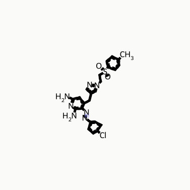 Cc1ccc(S(=O)(=O)CCn2cc(Cc3cc(N)nc(N)c3/N=N/c3ccc(Cl)cc3)cn2)cc1